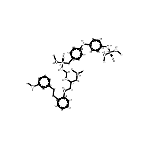 COc1cccc(CCc2ccccc2OCC(CN(C)C)OCOP(=S)(Cc2ccc(Sc3ccc(OP(=S)(OC)OC)cc3)cc2)OC)c1